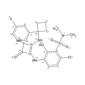 CN(C)S(=O)(=O)c1c(Cl)ccc(NC2=C(NC3(c4cccc(F)c4)CCC3)C(O)C2=O)c1O